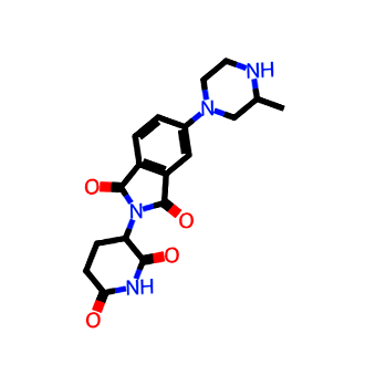 CC1CN(c2ccc3c(c2)C(=O)N(C2CCC(=O)NC2=O)C3=O)CCN1